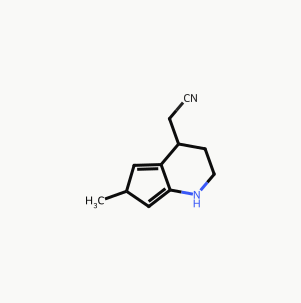 CC1C=C2NCCC(CC#N)C2=C1